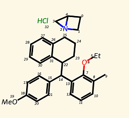 C1CN2CC12.CCOc1c(C)cccc1C(c1ccc(OC)cc1)C1CCCc2ccccc21.Cl